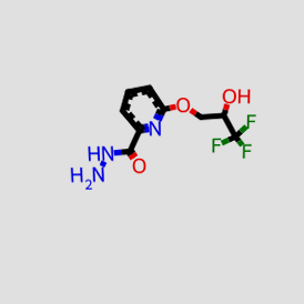 NNC(=O)c1cccc(OCC(O)C(F)(F)F)n1